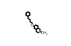 CN1CCc2cc(OCCCCc3ccccc3)ccc2C1